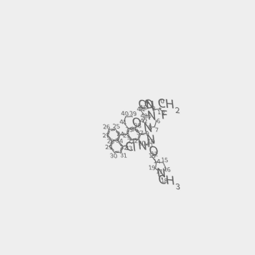 C=C(F)C(=O)N1CCN(c2nc(OCC3CCN(C)C3)nc3cc(-c4cccc5cccc(Cl)c45)c4c(c23)OCCC4)CC1CC#N